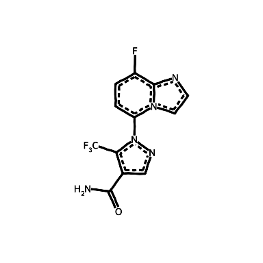 NC(=O)c1cnn(-c2ccc(F)c3nccn23)c1C(F)(F)F